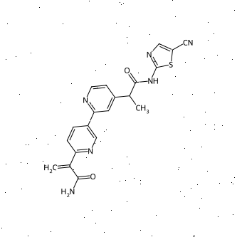 C=C(C(N)=O)c1ccc(-c2cc(C(C)C(=O)Nc3ncc(C#N)s3)ccn2)cn1